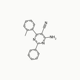 Cc1ccccc1-c1nc(-c2ccccc2)nc(N)c1C#N